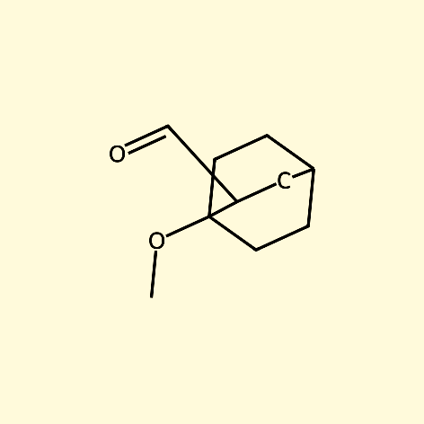 COC12CCC(CC1)CC2C=O